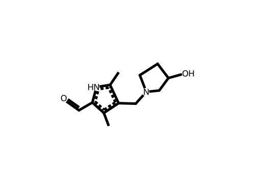 Cc1[nH]c(C=O)c(C)c1CN1CCC(O)C1